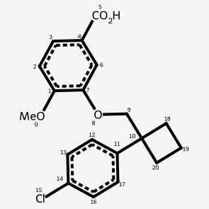 COc1ccc(C(=O)O)cc1OCC1(c2ccc(Cl)cc2)CCC1